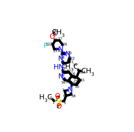 CCS(=O)(=O)CC1CN(c2ccc(C(C)C)c3cc(Nc4ccnc(N5CC[C@@H](OC)[C@@H](F)C5)n4)ncc23)C1